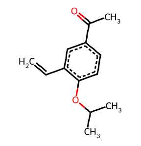 C=Cc1cc(C(C)=O)ccc1OC(C)C